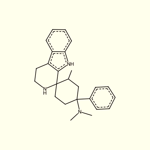 CC1CC(c2ccccc2)(N(C)C)CCC12NCCc1c2[nH]c2ccccc12